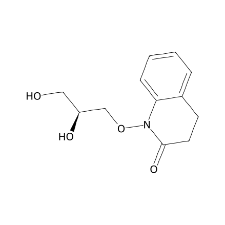 O=C1CCc2ccccc2N1OC[C@@H](O)CO